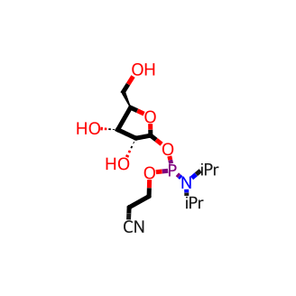 CC(C)N(C(C)C)P(OCCC#N)OC1O[C@H](CO)[C@@H](O)[C@H]1O